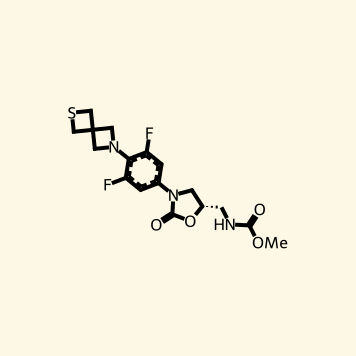 COC(=O)NC[C@H]1CN(c2cc(F)c(N3CC4(CSC4)C3)c(F)c2)C(=O)O1